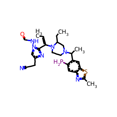 C/C=C(\c1nc(CC#N)cn1NC=O)N1CCN(C(C)c2cc3sc(C)nc3cc2P)CC1CC